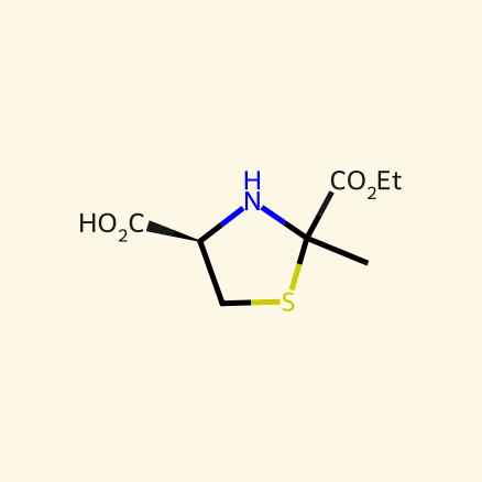 CCOC(=O)C1(C)N[C@H](C(=O)O)CS1